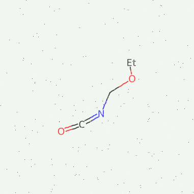 [CH2]COCN=C=O